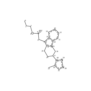 CCCOC(=O)Cc1c2n(c3ccccc13)CC(n1nncc1C)CC2